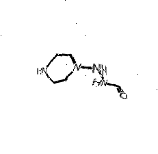 O=CNNN1CCNCC1